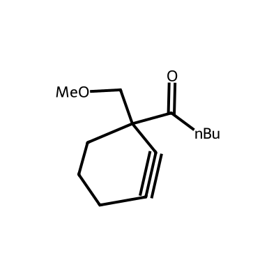 CCCCC(=O)C1(COC)C#CCCC1